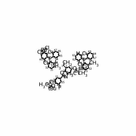 C=Cc1cc(O[Si](C)(C)C(C)(C)C)cc2nc(-c3ccc(O[Si](C)(C)C(C)(C)C)c(F)c3)oc12.Cc1ccccc1P(c1ccccc1C)c1ccccc1C.Cc1ccccc1P(c1ccccc1C)c1ccccc1C.[Cl][Pd][Cl]